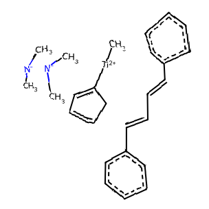 C(C=Cc1ccccc1)=Cc1ccccc1.C[N-]C.C[N-]C.[CH3][Ti+2][C]1=CC=CC1